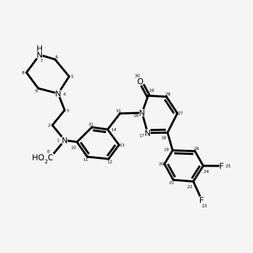 O=C(O)N(CCN1CCNCC1)c1cccc(Cn2nc(-c3ccc(F)c(F)c3)ccc2=O)c1